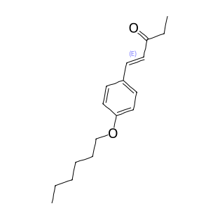 CCCCCCOc1ccc(/C=C/C(=O)CC)cc1